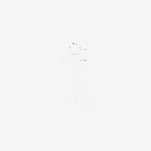 COc1cccc(Cl)c1C(=O)CCCCCCC(N)C(=O)O